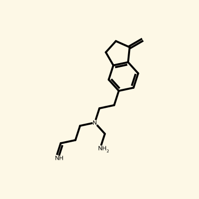 C=C1CCc2cc(CCN(CN)CCC=N)ccc21